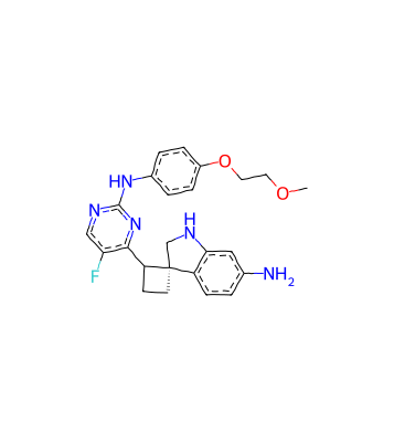 COCCOc1ccc(Nc2ncc(F)c(C3CC[C@@]34CNc3cc(N)ccc34)n2)cc1